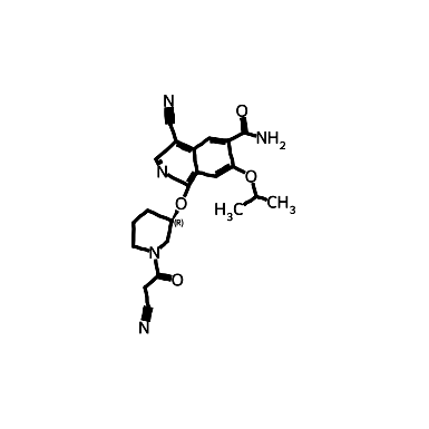 CC(C)Oc1cc2c(O[C@@H]3CCCN(C(=O)CC#N)C3)ncc(C#N)c2cc1C(N)=O